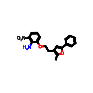 Cc1oc(-c2ccccc2)cc1CCOc1cccc([N+](=O)[O-])c1N